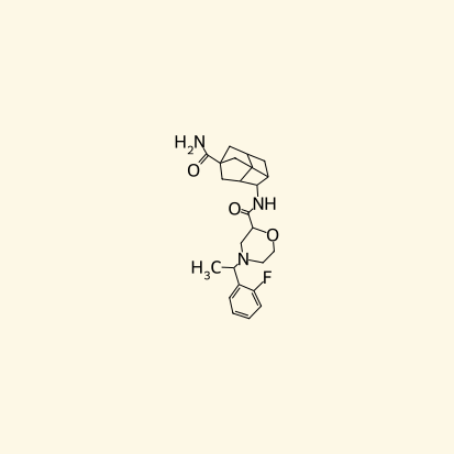 CC(c1ccccc1F)N1CCOC(C(=O)NC2C3CC4CC2CC(C(N)=O)(C4)C3)C1